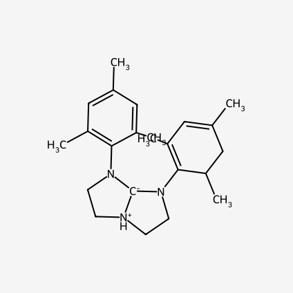 CC1=CC(C)=C(N2CC[NH+]3CCN(c4c(C)cc(C)cc4C)[C-]23)C(C)C1